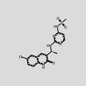 C[C@H](Nc1nccc(NS(C)(=O)=O)n1)c1cc2cc(Cl)ccc2[nH]c1=O